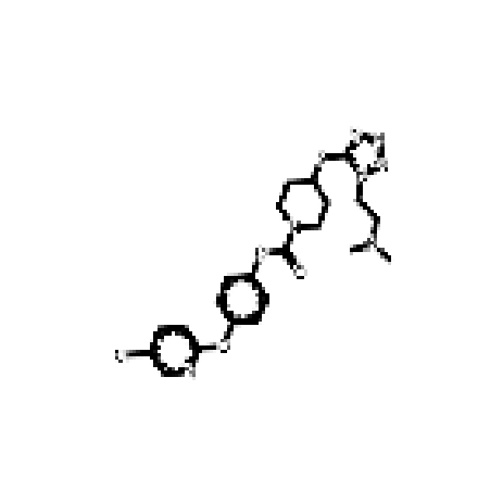 CN(C)CCn1nnnc1SC1CCN(C(=O)Oc2ccc(Oc3ccc(Cl)cn3)cc2)CC1